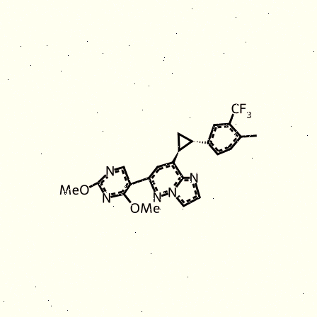 COc1ncc(-c2cc([C@H]3C[C@@H]3c3ccc(C)c(C(F)(F)F)c3)c3nccn3n2)c(OC)n1